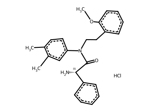 COc1ccccc1CCN(C(=O)[C@@H](N)c1ccccc1)c1ccc(C)c(C)c1.Cl